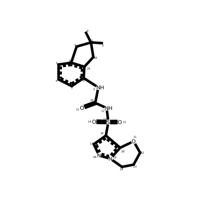 CC1(C)Cc2cccc(NC(=O)NS(=O)(=O)c3cnn4c3OCCC4)c2C1